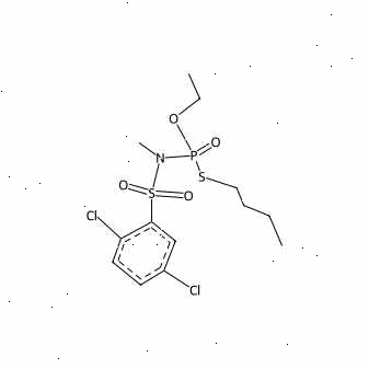 CCCCSP(=O)(OCC)N(C)S(=O)(=O)c1cc(Cl)ccc1Cl